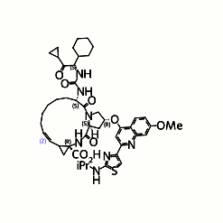 COc1ccc2c(O[C@@H]3C[C@H]4C(=O)N[C@]5(C(=O)O)CC5/C=C\CCCCC[C@H](NC(=O)N[C@H](C(=O)C5CC5)C5CCCCC5)C(=O)N4C3)cc(-c3csc(NC(C)C)n3)nc2c1